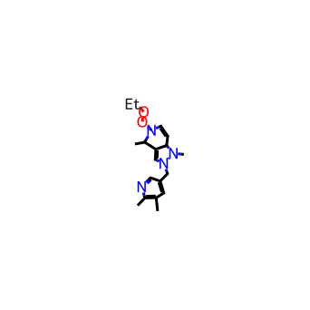 CCOON1C=CC2C(=CN(Cc3cnc(C)c(C)c3)N2C)C1C